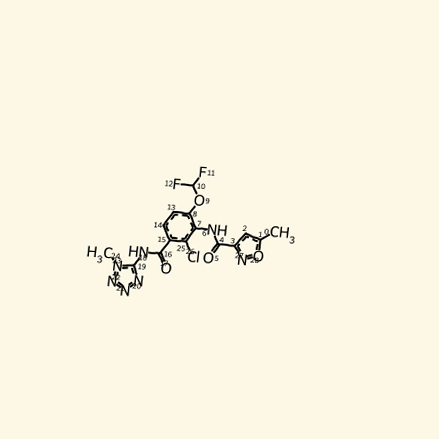 Cc1cc(C(=O)Nc2c(OC(F)F)ccc(C(=O)Nc3nnnn3C)c2Cl)no1